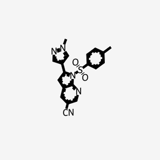 Cc1ccc(S(=O)(=O)n2c(-c3cnn(C)c3)cc3cc(C#N)cnc32)cc1